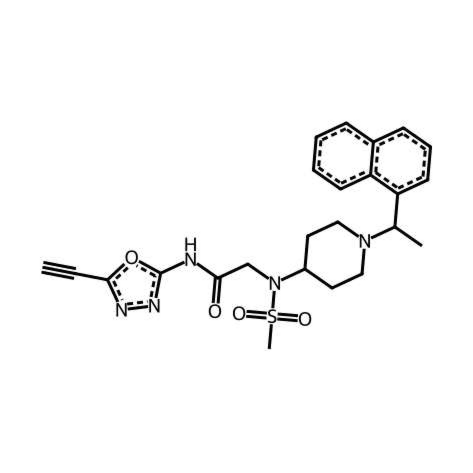 C#Cc1nnc(NC(=O)CN(C2CCN(C(C)c3cccc4ccccc34)CC2)S(C)(=O)=O)o1